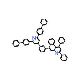 c1ccc(-c2ccc(-c3cc(-c4cccc(-c5cc6nc(-c7ccccc7)cc(-c7ccccc7)c6c6ccccc56)c4)cc(-c4ccc(-c5ccccc5)cc4)n3)cc2)cc1